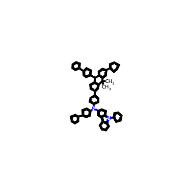 CC1(C)c2cc(-c3ccccc3)ccc2C(c2ccc(-c3ccccc3)cc2)c2ccc(-c3ccc(N(c4ccc(-c5ccccc5)cc4)c4ccc5c(c4)c4ccccc4n5-c4ccccc4)cc3)cc21